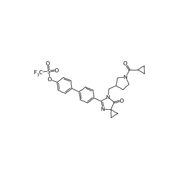 O=C(C1CC1)N1CCC(CN2C(=O)C3(CC3)N=C2c2ccc(-c3ccc(OS(=O)(=O)C(F)(F)F)cc3)cc2)C1